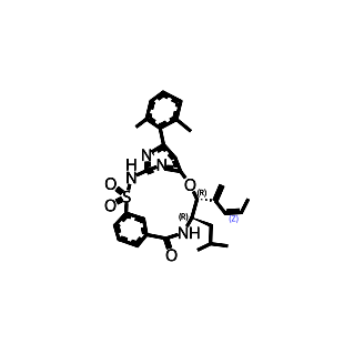 C=C(/C=C\C)[C@H]1Oc2cc(-c3c(C)cccc3C)nc(n2)NS(=O)(=O)c2cccc(c2)C(=O)N[C@@H]1CC(C)C